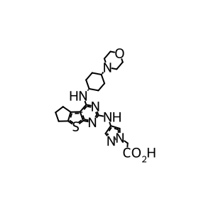 O=C(O)Cn1cc(Nc2nc(N[C@H]3CC[C@H](N4CCOCC4)CC3)c3c4c(sc3n2)CCC4)cn1